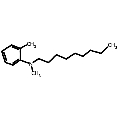 CCCCCCCCCN(C)c1ccccc1C